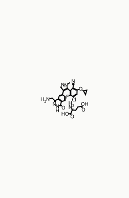 Cn1ncc(-c2ccc3c(=O)[nH]nc(CN)c3c2)c1-c1c(F)c(Cl)cc(OC2CC2)c1C#N.N[C@@H](CCC(=O)O)C(=O)O